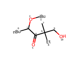 CCCCC(OC(C)CC)C(=O)C(C)(CC)CO